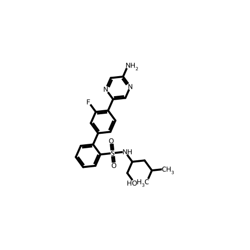 CC(C)CC(CO)NS(=O)(=O)c1ccccc1-c1ccc(-c2cnc(N)cn2)c(F)c1